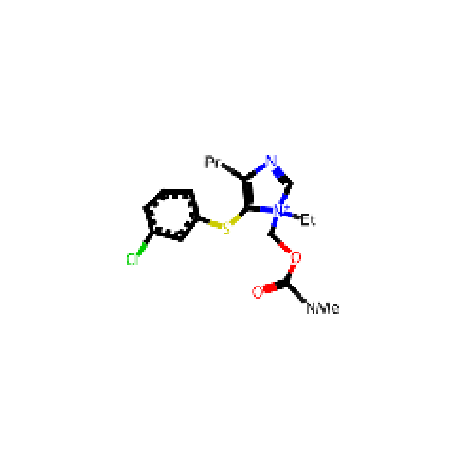 CC[N+]1(COC(=O)NC)C=NC(C(C)C)=C1Sc1cccc(Cl)c1